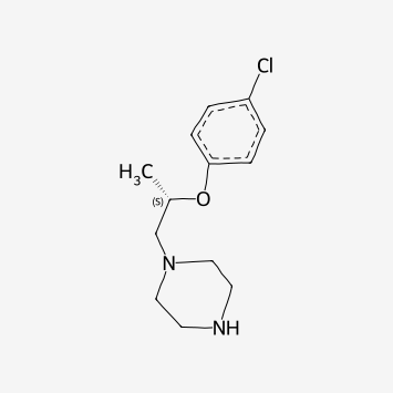 C[C@@H](CN1CCNCC1)Oc1ccc(Cl)cc1